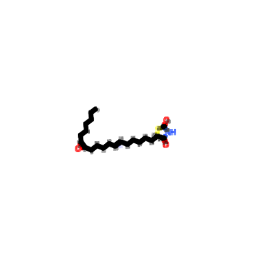 CCCCCCC1OC1CCCC/C=C/CCCCCC1SC(=O)NC1=O